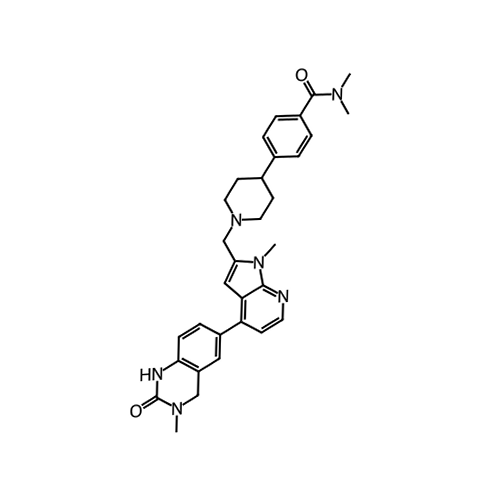 CN(C)C(=O)c1ccc(C2CCN(Cc3cc4c(-c5ccc6c(c5)CN(C)C(=O)N6)ccnc4n3C)CC2)cc1